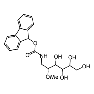 COC(CNC(=O)OC1c2ccccc2-c2ccccc21)C(O)C(O)C(O)CO